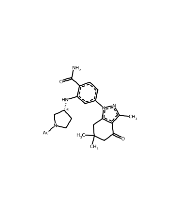 CC(=O)N1CC[C@@H](Nc2cc(-n3nc(C)c4c3CC(C)(C)CC4=O)ccc2C(N)=O)C1